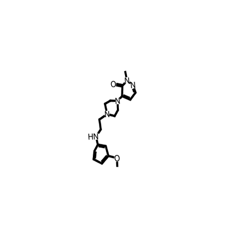 COc1cccc(NCCN2CCN(c3ccnn(C)c3=O)CC2)c1